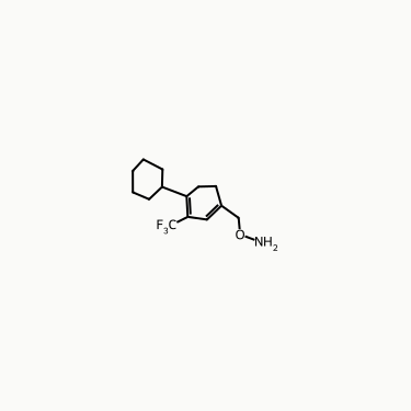 NOCC1=CC(C(F)(F)F)=C(C2CCCCC2)CC1